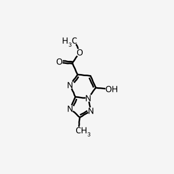 COC(=O)c1cc(O)n2nc(C)nc2n1